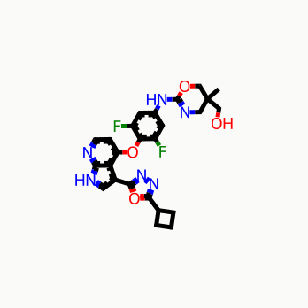 CC1(CO)CN=C(Nc2cc(F)c(Oc3ccnc4[nH]cc(-c5nnc(C6CCC6)o5)c34)c(F)c2)OC1